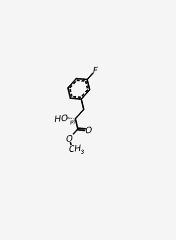 COC(=O)[C@H](O)Cc1cccc(F)c1